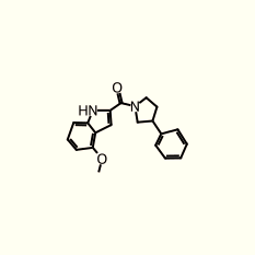 COc1cccc2[nH]c(C(=O)N3CCC(c4ccccc4)C3)cc12